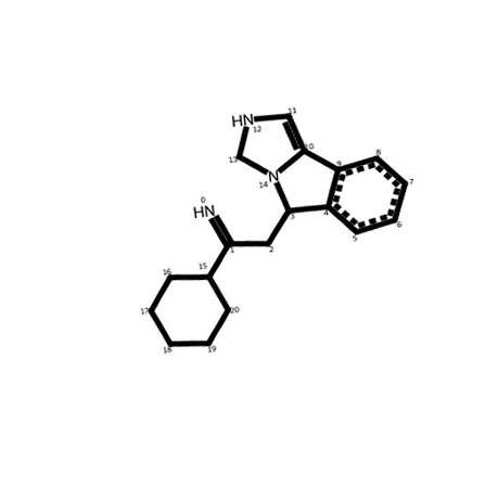 N=C(CC1c2ccccc2C2=CNCN21)C1CCCCC1